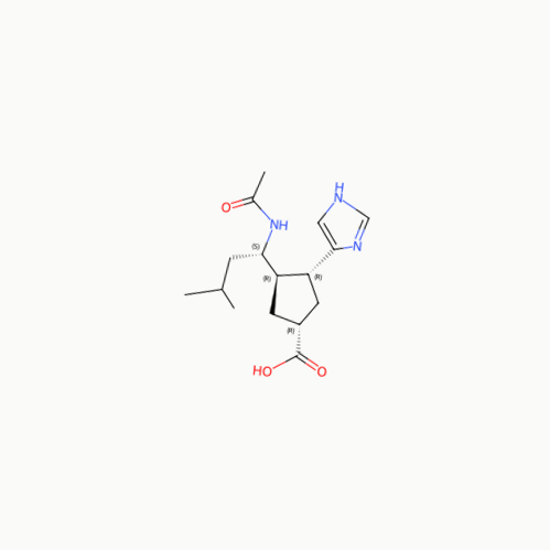 CC(=O)N[C@@H](CC(C)C)[C@@H]1C[C@@H](C(=O)O)C[C@H]1c1c[nH]cn1